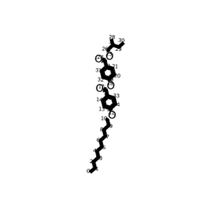 CCCCCCCCCCCOc1ccc(C(=O)Oc2ccc(C(=O)OCC(C)CC)cc2)cc1